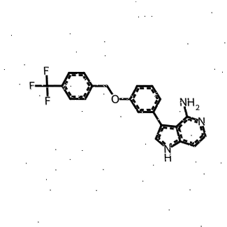 Nc1nccc2[nH]cc(-c3cccc(OCc4ccc(C(F)(F)F)cc4)c3)c12